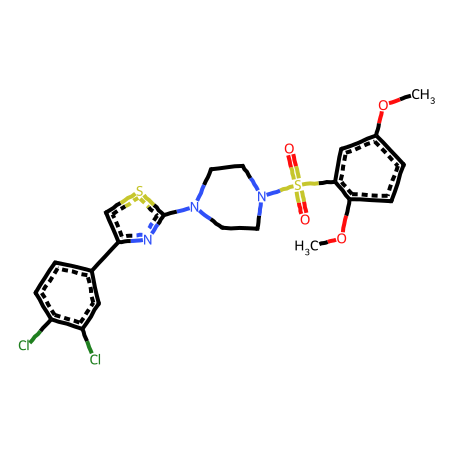 COc1ccc(OC)c(S(=O)(=O)N2CCN(c3nc(-c4ccc(Cl)c(Cl)c4)cs3)CC2)c1